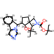 CC(C)(C)OC(=O)N1CC2(CCC(C3c4ccccc4-c4cncn43)C2O)C1C(C)(C)C